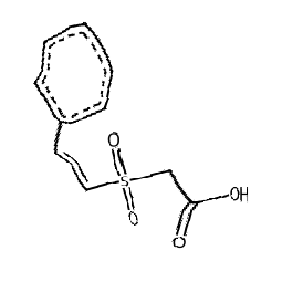 O=C(O)CS(=O)(=O)/C=C\c1ccccc1